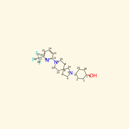 O[C@H]1CC[C@H](N2CCC3(CCN(c4cccc(C(F)(F)F)n4)CC3)C2)CC1